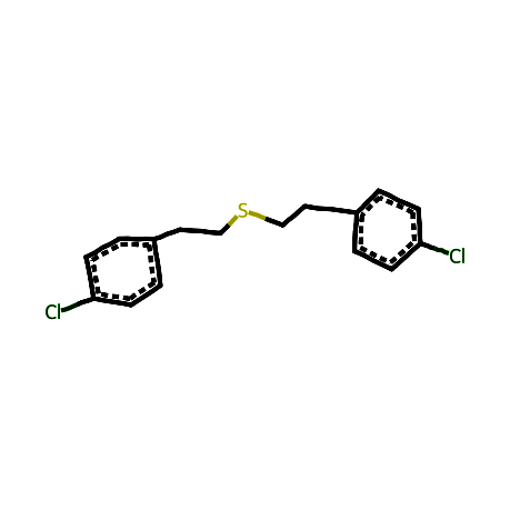 Clc1ccc(CCSCCc2ccc(Cl)cc2)cc1